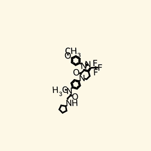 COc1ccc(-n2nc(C(F)(F)F)c3c2C(=O)N(c2ccc(N(C)C(=O)CNC4CCCC4)cc2)CC3)cc1